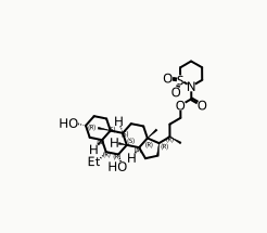 CC[C@H]1[C@@H](O)[C@@H]2[C@H](CC[C@]3(C)[C@@H]([C@H](C)CCOC(=O)N4CCCCS4(=O)=O)CC[C@@H]23)[C@@]2(C)CC[C@@H](O)C[C@@H]12